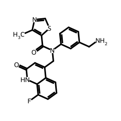 Cc1ncsc1C(=O)N(Cc1cc(=O)[nH]c2c(F)cccc12)c1cccc(CN)c1